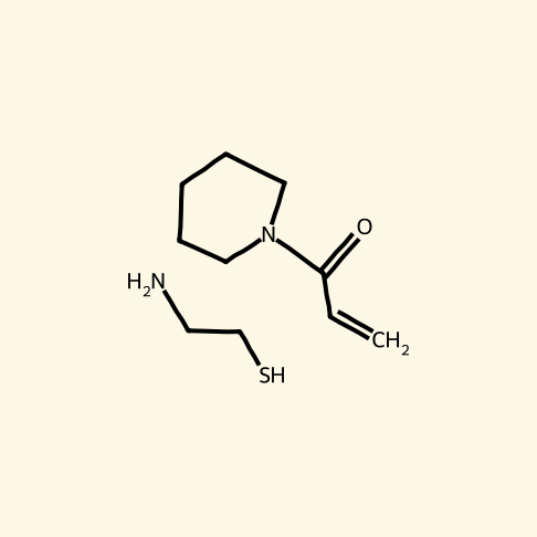 C=CC(=O)N1CCCCC1.NCCS